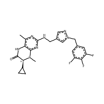 Cc1nc(NCc2cnn(Cc3cc(F)c(F)c(F)c3)c2)nc2c1NC(=O)[C@H](C1CC1)N2C